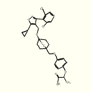 CC(Oc1ccc(OCC23CCC(OCc4c(-c5c(Cl)cncc5Cl)noc4C4CC4)(CC2)CC3)cc1)C(=O)O